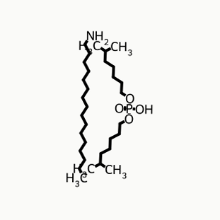 CC(C)CCCCCOP(=O)(O)OCCCCCC(C)C.CCCCCCCCCCCCCCCCN